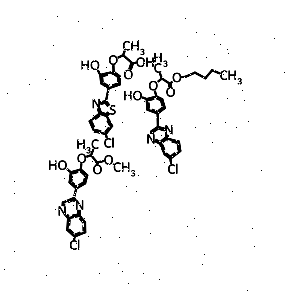 CC(Oc1ccc(-c2nc3ccc(Cl)cc3s2)cc1O)C(=O)O.CCCCCOC(=O)C(C)Oc1ccc(-c2cnc3cc(Cl)ccc3n2)cc1O.COC(=O)C(C)Oc1ccc(-c2cnc3cc(Cl)ccc3n2)cc1O